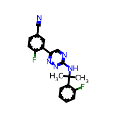 CC(C)(Nc1ncc(-c2cc(C#N)ccc2F)nn1)c1ccccc1F